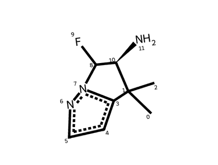 CC1(C)c2ccnn2C(F)[C@H]1N